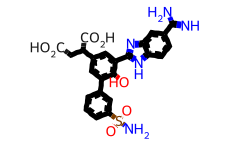 N=C(N)c1ccc2[nH]c(-c3cc(C(CC(=O)O)C(=O)O)cc(-c4cccc(S(N)(=O)=O)c4)c3O)nc2c1